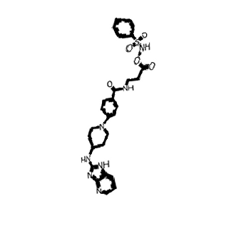 O=C(CCNC(=O)c1ccc(N2CCC(Nc3nc4ncccc4[nH]3)CC2)cc1)ONS(=O)(=O)c1ccccc1